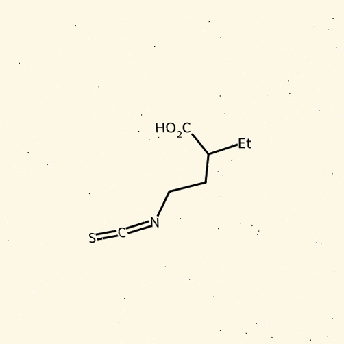 CCC(CCN=C=S)C(=O)O